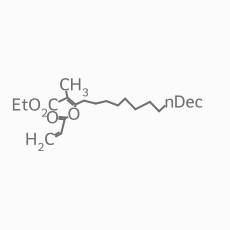 C=CC(=O)OC(CCCCCCCCCCCCCCCCCC)=C(C)C(=O)OCC